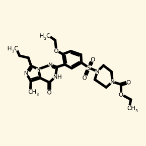 CCCc1nc(C)c2c(=O)[nH]c(-c3cc(S(=O)(=O)N4CCN(C(=O)OCC)CC4)ccc3OCC)nn12